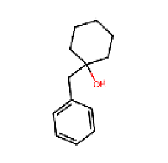 OC1(Cc2ccccc2)CC[CH]CC1